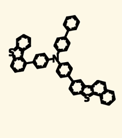 c1ccc(-c2ccc(N(c3ccc(-c4ccc5sc6c7ccccc7ccc6c5c4)cc3)c3ccc(-c4cccc5sc6ccccc6c45)cc3)cc2)cc1